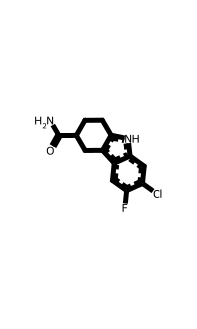 NC(=O)C1CCc2[nH]c3cc(Cl)c(F)cc3c2C1